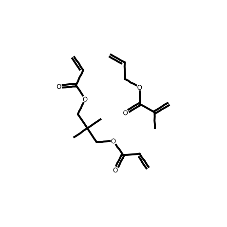 C=CC(=O)OCC(C)(C)COC(=O)C=C.C=CCOC(=O)C(=C)C